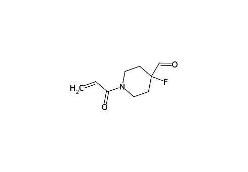 C=CC(=O)N1CCC(F)(C=O)CC1